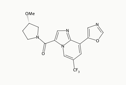 CO[C@H]1CCN(C(=O)c2cnc3c(-c4cnco4)cc(C(F)(F)F)cn23)C1